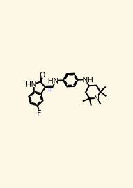 CN1C(C)(C)CC(Nc2ccc(N/C=C3\C(=O)Nc4ccc(F)cc43)cc2)CC1(C)C